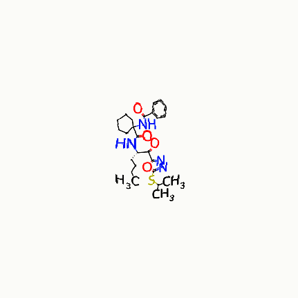 CCCC[C@H](NC(=O)C1(NC(=O)c2ccccc2)CCCCC1)C(=O)c1nnc(SC(C)C)o1